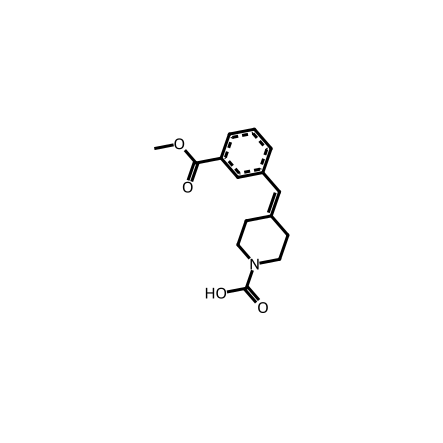 COC(=O)c1cccc(C=C2CCN(C(=O)O)CC2)c1